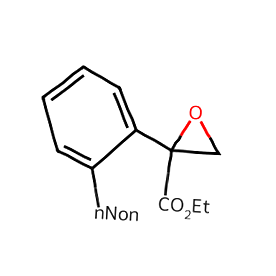 CCCCCCCCCc1ccccc1C1(C(=O)OCC)CO1